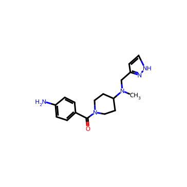 CN(Cc1cc[nH]n1)C1CCN(C(=O)c2ccc(N)cc2)CC1